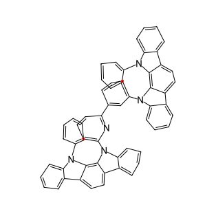 c1ccc(-n2c3ccccc3c3ccc4c5ccccc5n(-c5cccc(-c6cccc(-n7c8ccccc8c8ccc9c%10ccccc%10n(-c%10ccccc%10)c9c87)n6)c5)c4c32)cc1